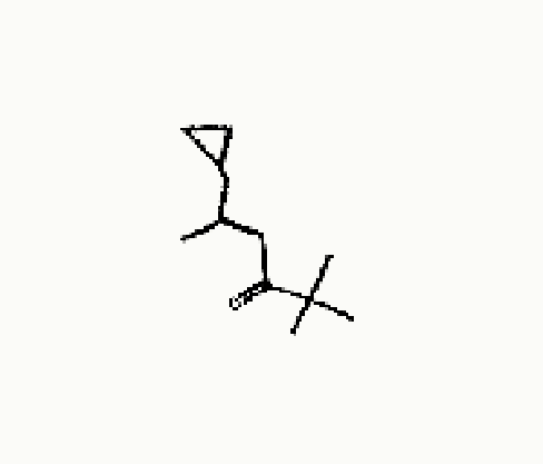 CC(CC(=O)C(C)(C)C)C1CC1